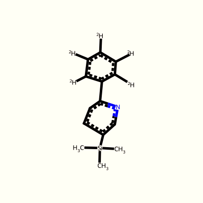 [2H]c1c([2H])c([2H])c(-c2ccc([Si](C)(C)C)cn2)c([2H])c1[2H]